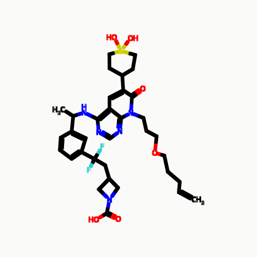 C=CCCCOCCCn1c(=O)c(C2CCS(O)(O)CC2)cc2c(NC(C)c3cccc(C(F)(F)CC4CN(C(=O)O)C4)c3)ncnc21